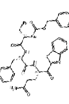 CC(C)C[C@H](NC(=O)OCc1ccccc1)C(=O)N[C@@H](Cc1ccccc1)C(=O)N[C@@H](CCC(N)=O)C(=O)c1nc2ccccc2s1